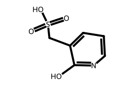 O=S(=O)(O)Cc1cccnc1O